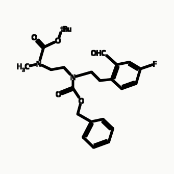 CN(CCN(CCc1ccc(F)cc1C=O)C(=O)OCc1ccccc1)C(=O)OC(C)(C)C